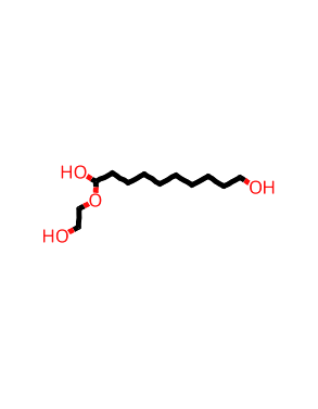 OCCCCCCCCCC(O)OCCO